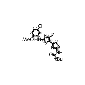 COc1ccc(Cl)cc1Nc1nc(C)c(-c2csc(NC(=O)C(C)(C)C)n2)s1